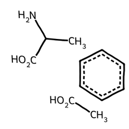 CC(=O)O.CC(N)C(=O)O.c1ccccc1